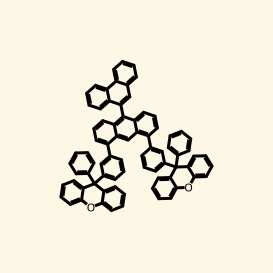 c1ccc(C2(c3cccc(-c4cccc5c(-c6cc7ccccc7c7ccccc67)c6cccc(-c7cccc(C8(c9ccccc9)c9ccccc9Oc9ccccc98)c7)c6cc45)c3)c3ccccc3Oc3ccccc32)cc1